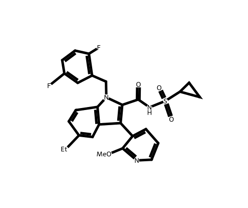 CCc1ccc2c(c1)c(-c1cccnc1OC)c(C(=O)NS(=O)(=O)C1CC1)n2Cc1cc(F)ccc1F